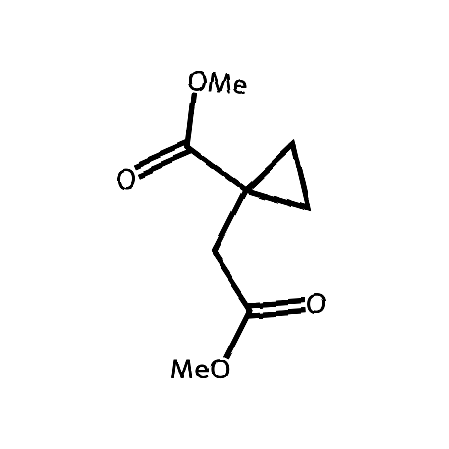 COC(=O)CC1(C(=O)OC)CC1